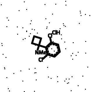 CNC1(c2c(Cl)cccc2Cl)CCC1.Cl